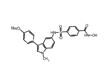 COc1ccc(-c2cn(C)c3ccc(NS(=O)(=O)c4ccc(C(=O)NO)cc4)cc23)cc1